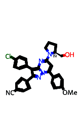 COc1ccc(-c2cc(N3CCC[C@H]3CO)nc3c(-c4ccc(Cl)cc4)c(-c4ccc(C#N)cc4)nn23)cc1